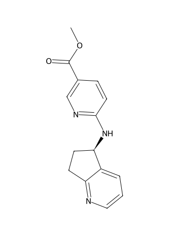 COC(=O)c1ccc(N[C@@H]2CCc3ncccc32)nc1